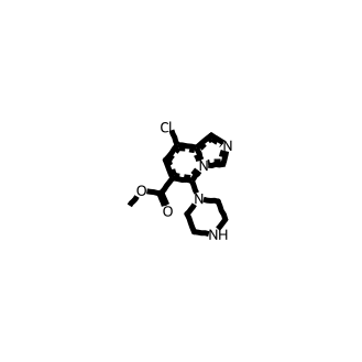 COC(=O)c1cc(Cl)c2cncn2c1N1CCNCC1